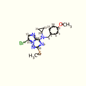 COc1ccc(CN(c2nc(SC)nn3c(Br)cnc23)C2CC2)cc1